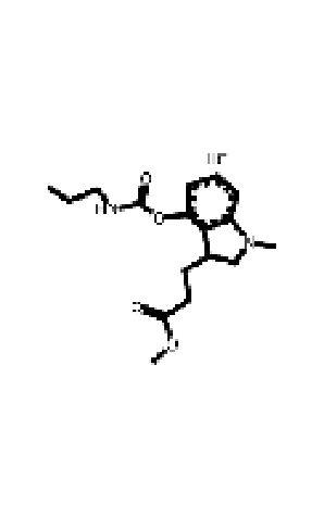 CCCNC(=O)Oc1cccc2c1C(CCC(=O)OC)CN2C.Cl